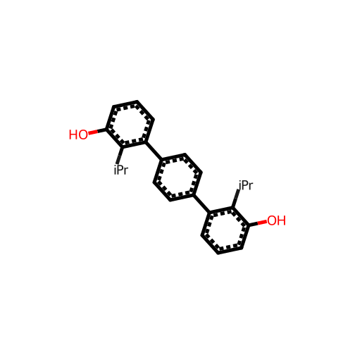 CC(C)c1c(O)cccc1-c1ccc(-c2cccc(O)c2C(C)C)cc1